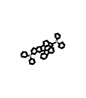 c1ccc(N(c2ccccc2)c2ccc3cc4c(cc3c2)C2(c3ccccc3-c3ccccc32)c2c-4ccc3cc(N(c4ccccc4)c4ccccc4)ccc23)cc1